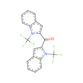 O=C(c1cc2ccccc2n1C(F)(F)F)c1cc2ccccc2n1C(F)(F)F